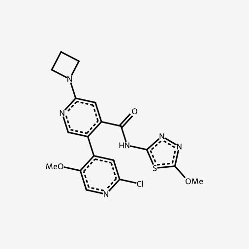 COc1nnc(NC(=O)c2cc(N3CCC3)ncc2-c2cc(Cl)ncc2OC)s1